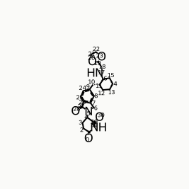 O=C1CCC(N2Cc3cc(C[C@H]4CCCC[C@@H]4NCC4OCCO4)ccc3C2=O)C(=O)N1